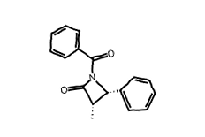 C[C@@H]1C(=O)N(C(=O)c2ccccc2)[C@@H]1c1ccccc1